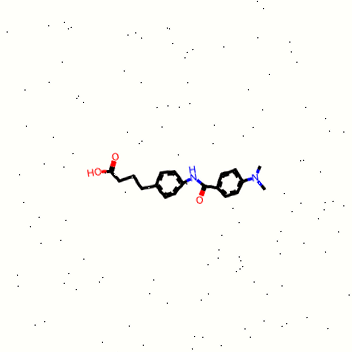 CN(C)c1ccc(C(=O)Nc2ccc(CCCC(=O)O)cc2)cc1